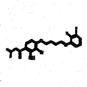 CC(C)CC(=O)c1ccc(OCCCCOc2cccc(F)c2F)c(Br)c1O